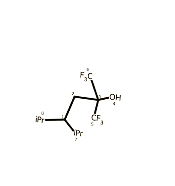 CC(C)C(CC(O)(C(F)(F)F)C(F)(F)F)C(C)C